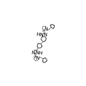 c1ccc(CN2CCC[C@H]2c2ncc(-c3ccc(-c4ccc5nc([C@@H]6CCCN6Cc6ccccc6)[nH]c5c4)cc3)[nH]2)cc1